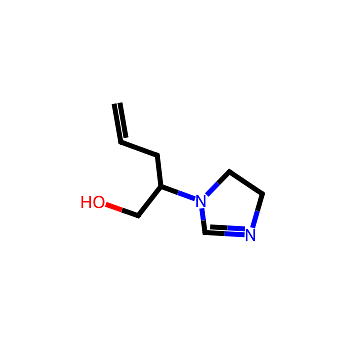 C=CCC(CO)N1C=NCC1